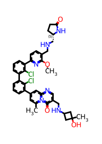 COc1nc(-c2cccc(-c3cccc(-c4cc(C)n5c(=O)c(CNC6CC(C)(O)C6)cnc5c4)c3Cl)c2Cl)ccc1CNC[C@@H]1CCC(=O)N1